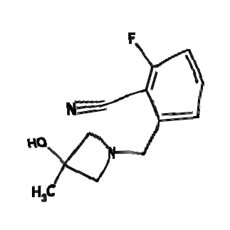 CC1(O)CN(Cc2cccc(F)c2C#N)C1